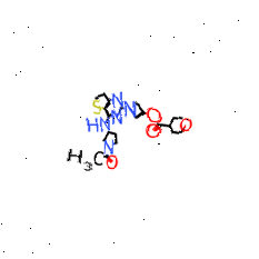 CC(=O)N1CC[C@H](Nc2nc(N3CC(OC(=O)C4CCOCC4)C3)nc3c2SCC3)C1